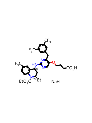 CCOC(=O)N1c2ccc(C(F)(F)F)cc2[C@@H](Nc2ncc(OCCCC(=O)O)c(Cc3cc(C(F)(F)F)cc(C(F)(F)F)c3)n2)C[C@H]1CC.[NaH]